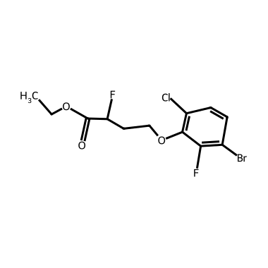 CCOC(=O)C(F)CCOc1c(Cl)ccc(Br)c1F